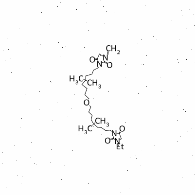 C=CN1CC(=O)N(CCCCC(C)(C)CCCCOCCCCC(C)(C)CCCCN2C(=O)CN(CC)C2=O)C1=O